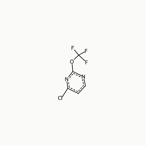 FC(F)(F)Oc1nccc(Cl)n1